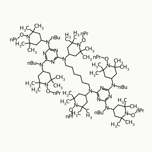 CCCCN(c1nc(N(CCCC)C2CC(C)(C)N(OCCC)C(C)(C)C2)nc(N(CCCCCCN(c2nc(N(CCCC)C3CC(C)(C)N(OCCC)C(C)(C)C3)nc(N(CCCC)C3CC(C)(C)N(OCCC)C(C)(C)C3)n2)C2CC(C)(C)N(OCCC)C(C)(C)C2)C2CC(C)(C)N(OCCC)C(C)(C)C2)n1)C1CC(C)(C)N(OCCC)C(C)(C)C1